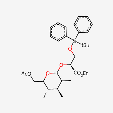 CCOC(=O)[C@H](CO[Si](c1ccccc1)(c1ccccc1)C(C)(C)C)OC1OC(COC(C)=O)[C@@H](C)[C@H](C)C1C